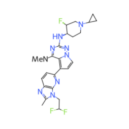 CNc1nc(N[C@@H]2CCN(C3CC3)C[C@@H]2F)nn2ccc(-c3ccc4nc(C)n(CC(F)F)c4n3)c12